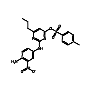 CCCc1cc(OS(=O)(=O)c2ccc(C)cc2)nc(Nc2ccc(N)c([N+](=O)[O-])c2)n1